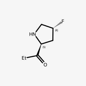 CCC(=O)[C@@H]1C[C@@H](F)CN1